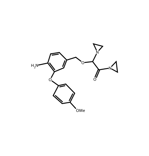 COc1ccc(Oc2cc(COC(C(=O)N3CC3)N3CC3)ccc2N)cc1